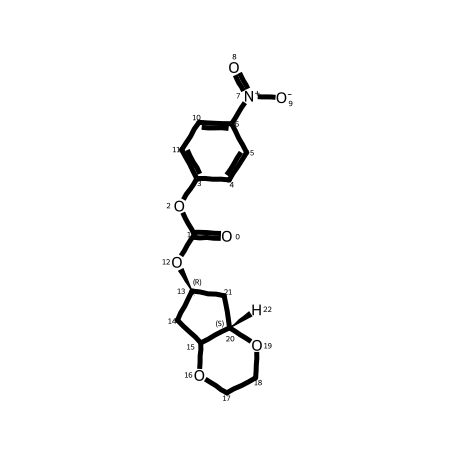 O=C(Oc1ccc([N+](=O)[O-])cc1)O[C@@H]1CC2OCCO[C@H]2C1